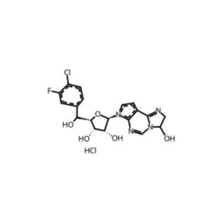 Cl.OC(c1ccc(Cl)c(F)c1)[C@H]1O[C@@H](n2ccc3c2N=CN2C3=NCC2O)[C@H](O)[C@@H]1O